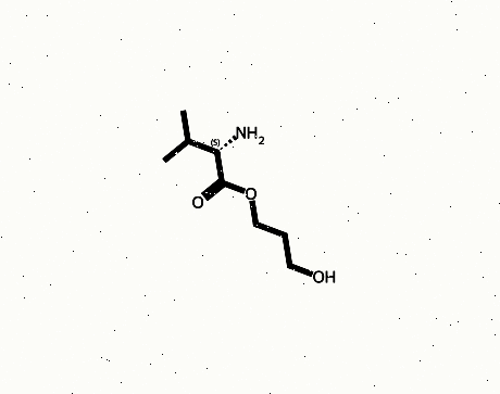 CC(C)[C@H](N)C(=O)OCCCO